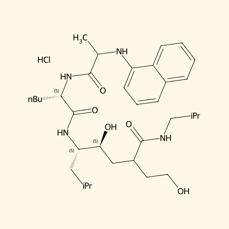 CCCC[C@H](NC(=O)C(C)Nc1cccc2ccccc12)C(=O)N[C@@H](CC(C)C)[C@@H](O)CC(CCO)C(=O)NCC(C)C.Cl